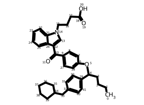 CCCCC(Oc1ccc(C(=O)c2cn(CCCC(=O)O)c3ccccc23)cc1)c1ccc(CC2CCCCC2)cc1